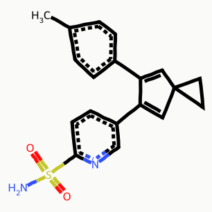 Cc1ccc(C2=CC3(C=C2c2ccc(S(N)(=O)=O)nc2)CC3)cc1